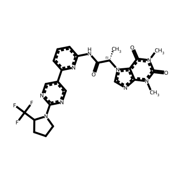 C[C@@H](C(=O)Nc1cccc(-c2cnc(N3CCCC3C(F)(F)F)nc2)n1)n1cnc2c1c(=O)n(C)c(=O)n2C